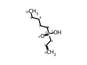 C=CCP(=O)(O)[CH]CCCC